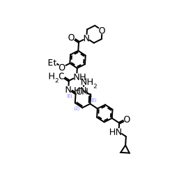 C=C(/N=C(C)/C=C\C(=C/NN)c1ccc(C(=O)NCC2CC2)cc1)Nc1ccc(C(=O)N2CCOCC2)cc1OCC